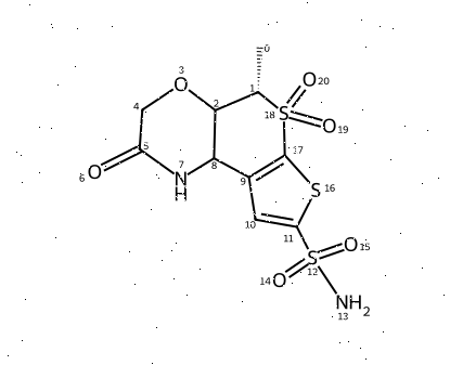 C[C@H]1C2OCC(=O)NC2c2cc(S(N)(=O)=O)sc2S1(=O)=O